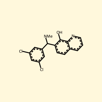 CNC(c1cc(Cl)cc(Cl)c1)c1ccc2cccnc2c1O